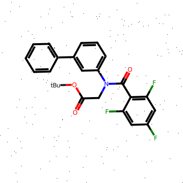 CC(C)(C)OC(=O)CN(C(=O)c1c(F)cc(F)cc1F)c1cccc(-c2ccccc2)c1